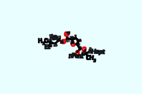 CCCCCCCC(C)(CCCCC)OC(=O)c1ccc(C(=O)OCCC(C)(CC)CCCC)o1